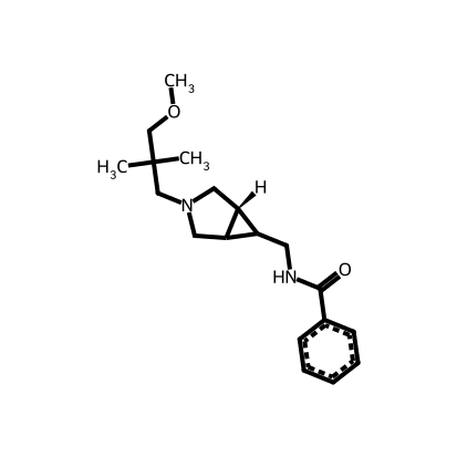 COCC(C)(C)CN1CC2C(CNC(=O)c3ccccc3)[C@H]2C1